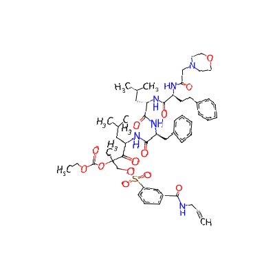 C#CCNC(=O)c1cccc(S(=O)(=O)OCC(C)(OC(=O)OCC)C(=O)C(CC(C)C)NC(=O)[C@H](Cc2ccccc2)NC(=O)[C@H](CC(C)C)NC(=O)[C@H](CCc2ccccc2)NC(=O)CN2CCOCC2)c1